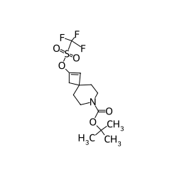 CC(C)(C)OC(=O)N1CCC2(C=C(OS(=O)(=O)C(F)(F)F)C2)CC1